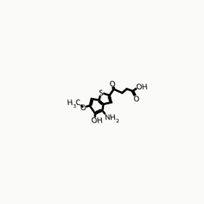 COc1cc2sc(C(=O)CCC(=O)O)cc2c(N)c1O